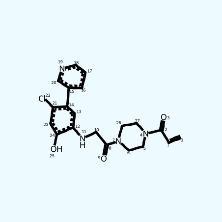 C=CC(=O)N1CCN(C(=O)CNc2cc(-c3cccnc3)c(Cl)cc2O)CC1